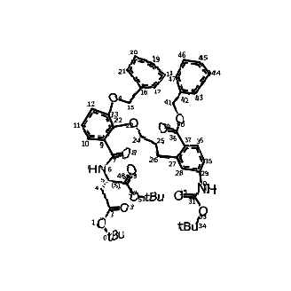 CC(C)(C)OC(=O)C[C@H](NC(=O)c1cccc(OCc2ccccc2)c1OCCCc1cc(NC(=O)OC(C)(C)C)ccc1C(=O)OCc1ccccc1)C(=O)OC(C)(C)C